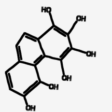 Oc1ccc2ccc3c(O)c(O)c(O)c(O)c3c2c1O